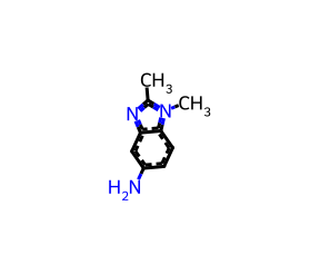 Cc1nc2cc(N)ccc2n1C